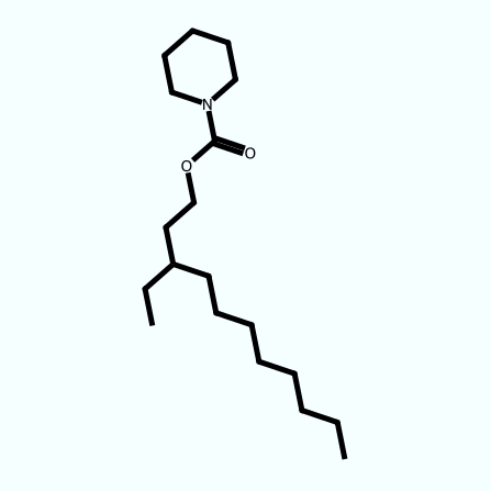 CCCCCCCCC(CC)CCOC(=O)N1CCCCC1